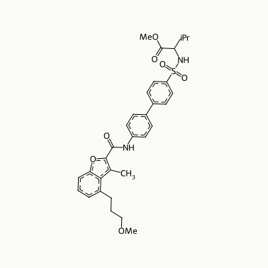 COCCCc1cccc2oc(C(=O)Nc3ccc(-c4ccc(S(=O)(=O)NC(C(=O)OC)C(C)C)cc4)cc3)c(C)c12